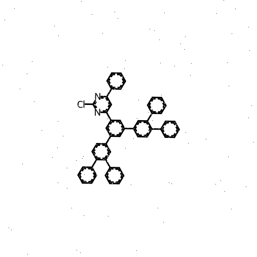 Clc1nc(-c2ccccc2)cc(-c2cc(-c3ccc(-c4ccccc4)c(-c4ccccc4)c3)cc(-c3ccc(-c4ccccc4)c(-c4ccccc4)c3)c2)n1